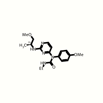 CCNC(=O)N(c1ccc(OC)cc1)c1ccnc(N[C@@H](C)COC)n1